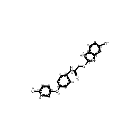 O=C(CSc1nc2cc(Cl)ccc2[nH]1)Nc1ccc(Oc2ccc(Cl)nc2)cc1